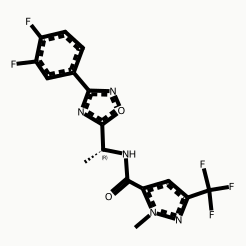 C[C@@H](NC(=O)c1cc(C(F)(F)F)nn1C)c1nc(-c2ccc(F)c(F)c2)no1